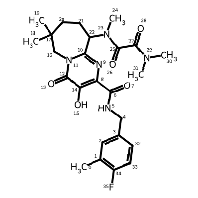 Cc1cc(CNC(=O)c2nc3n(c(=O)c2O)CC(C)(C)CCC3N(C)C(=O)C(=O)N(C)C)ccc1F